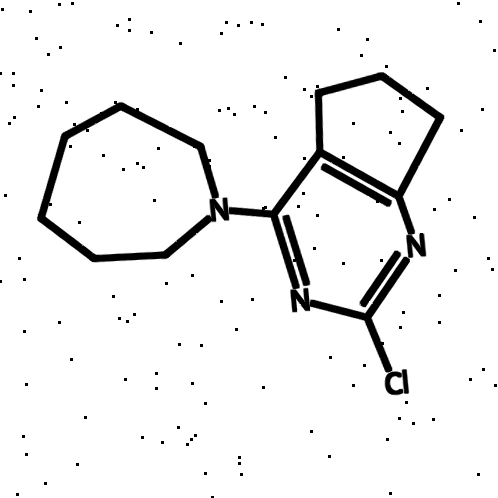 Clc1nc2c(c(N3CCCCCC3)n1)CCC2